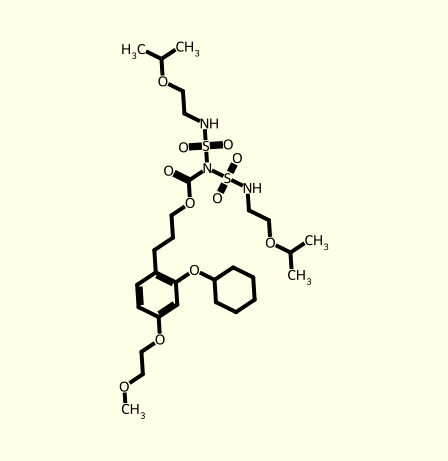 COCCOc1ccc(CCCOC(=O)N(S(=O)(=O)NCCOC(C)C)S(=O)(=O)NCCOC(C)C)c(OC2CCCCC2)c1